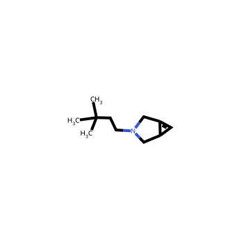 CC(C)(C)CCN1CC2=CC2C1